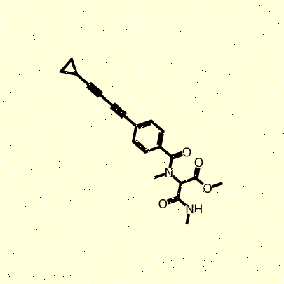 CNC(=O)C(C(=O)OC)N(C)C(=O)c1ccc(C#CC#CC2CC2)cc1